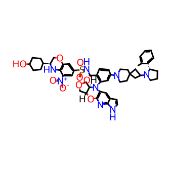 Cc1ccccc1[C@@H]1CCCN1C1CC2(CCN(c3ccc(C(=O)NS(=O)(=O)c4cc5c(c([N+](=O)[O-])c4)N[C@@H](C4CCC(O)CC4)CO5)c(N4c5cc6cc[nH]c6nc5O[C@@H]5COC[C@H]54)c3)CC2)C1